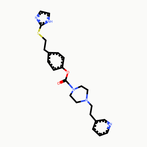 O=C(Oc1ccc(CCSc2ncc[nH]2)cc1)N1CCN(CCc2cccnc2)CC1